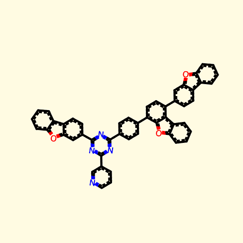 c1cncc(-c2nc(-c3ccc(-c4ccc(-c5ccc6c(c5)oc5ccccc56)c5c4oc4ccccc45)cc3)nc(-c3ccc4c(c3)oc3ccccc34)n2)c1